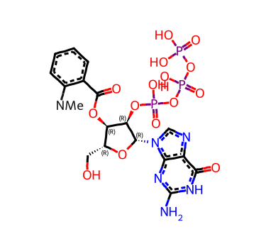 CNc1ccccc1C(=O)O[C@H]1[C@@H](OP(=O)(O)OP(=O)(O)OP(=O)(O)O)[C@H](n2cnc3c(=O)[nH]c(N)nc32)O[C@@H]1CO